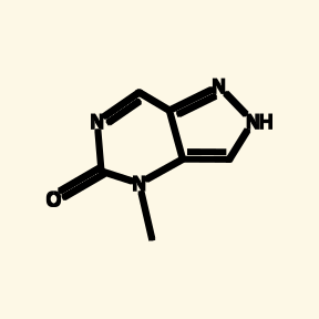 Cn1c(=O)ncc2n[nH]cc21